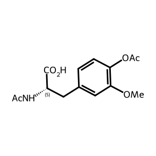 COc1cc(C[C@H](NC(C)=O)C(=O)O)ccc1OC(C)=O